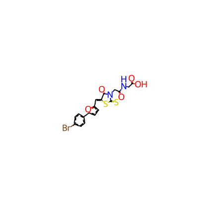 O=C(O)CNC(=O)CN1C(=O)C(=Cc2ccc(-c3ccc(Br)cc3)o2)SC1=S